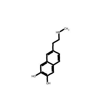 CNCCc1ccc2cc(O)c(O)cc2c1